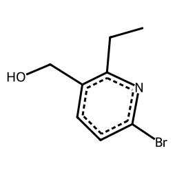 CCc1nc(Br)ccc1CO